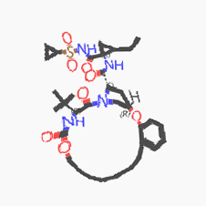 CCC1C[C@]1(NC(=O)[C@@H]1C[C@@H]2CN1C(=O)[C@H](C(C)(C)C)NC(=O)OCCCCCCCc1ccccc1O2)C(=O)NS(=O)(=O)C1CC1